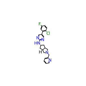 Fc1ccc(Cl)c(-c2cnc(N[C@@H]3CC4CN(Cc5ccccn5)C[C@H]4C3)nc2)c1